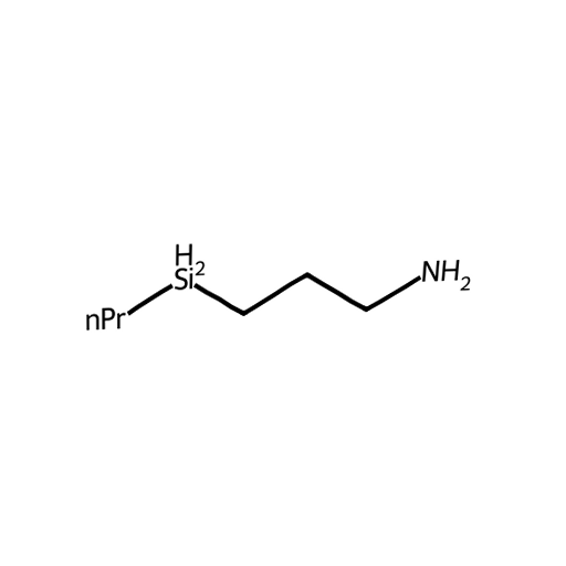 CCC[SiH2]CCCN